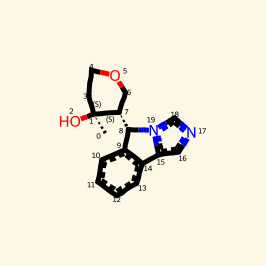 C[C@]1(O)CCOC[C@@H]1C1c2ccccc2-c2cncn21